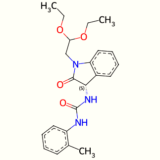 CCOC(CN1C(=O)[C@@H](NC(=O)Nc2ccccc2C)c2ccccc21)OCC